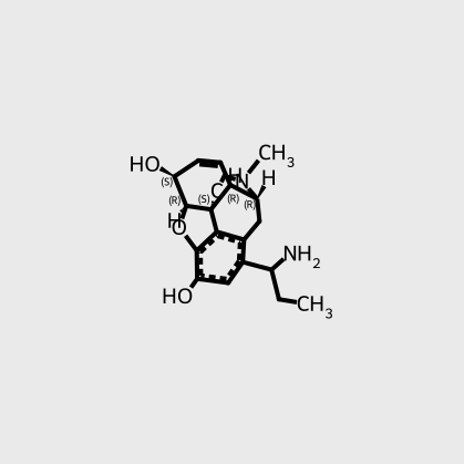 CCC(N)c1cc(O)c2c3c1C[C@@H]1[C@@H]4C=C[C@H](O)[C@H](O2)[C@]34CCN1C